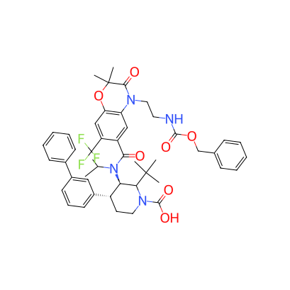 CC(C)N(C(=O)c1cc2c(cc1C(F)(F)F)OC(C)(C)C(=O)N2CCNC(=O)OCc1ccccc1)[C@H]1C(C(C)(C)C)N(C(=O)O)CC[C@@H]1c1cccc(-c2ccccc2)c1